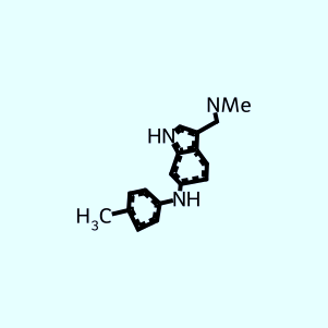 CNCc1c[nH]c2cc(Nc3ccc(C)cc3)ccc12